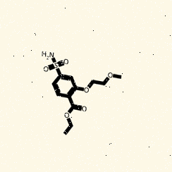 CCOC(=O)c1ccc(S(N)(=O)=O)cc1OCCOC